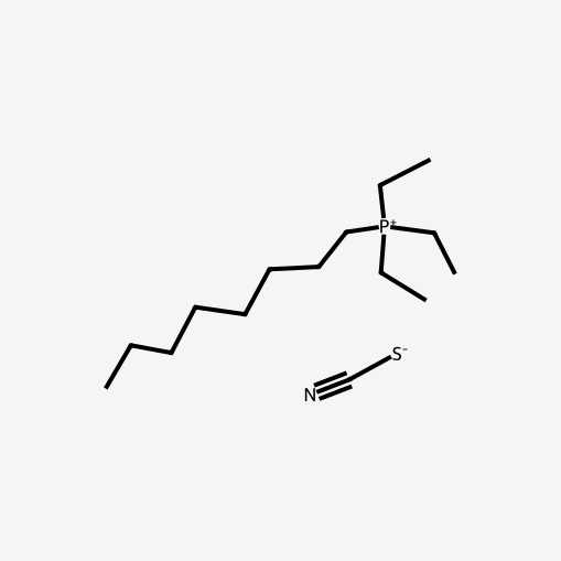 CCCCCCCC[P+](CC)(CC)CC.N#C[S-]